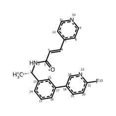 C[C@H](NC(=O)C=Cc1ccncc1)c1cccc(-c2ccc(F)nc2)c1